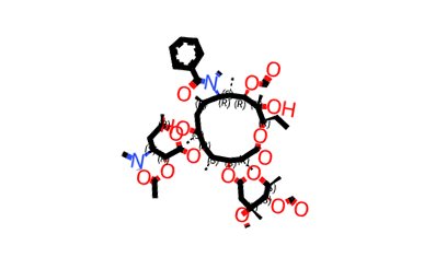 CC[C@H]1OC(=O)[C@H](C)[C@@H](OC2C[C@@](C)(OC)[C@@H](OC=O)[C@H](C)O2)[C@H](C)[C@@H](OC2O[C@H](C)C[C@H](N(C)C)[C@H]2OC(C)=O)[C@@](C)(O)C[C@@H](C)[C@@H](N(C)C(=O)c2ccccc2)[C@H](C)[C@@H](OC=O)[C@]1(C)O